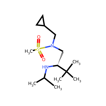 CC(C)N[C@H](CN(CC1CC1)S(C)(=O)=O)C(C)(C)C